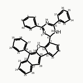 c1ccc(C2=NC(c3cccc4c3oc3c(-c5ccccc5)c5ccccc5cc34)NC(c3ccccc3)=N2)cc1